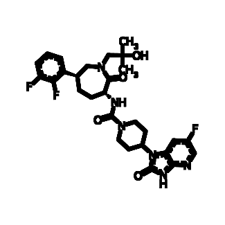 CC(C)(O)CN1C[C@H](c2cccc(F)c2F)CC[C@@H](NC(=O)N2CCC(n3c(=O)[nH]c4ncc(F)cc43)CC2)C1=O